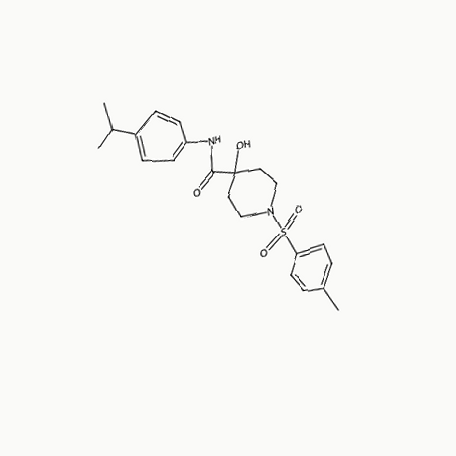 Cc1ccc(S(=O)(=O)N2CCC(O)(C(=O)Nc3ccc(C(C)C)cc3)CC2)cc1